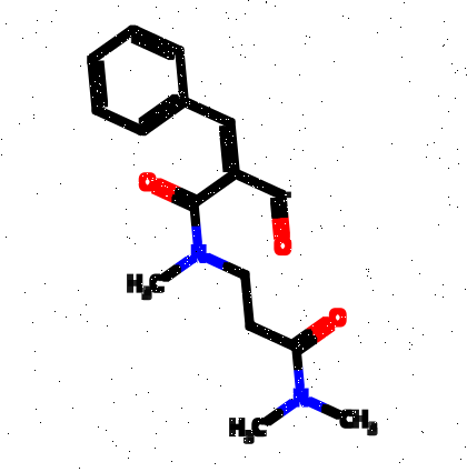 CN(C)C(=O)CCN(C)C(=O)C([C]=O)=Cc1ccccc1